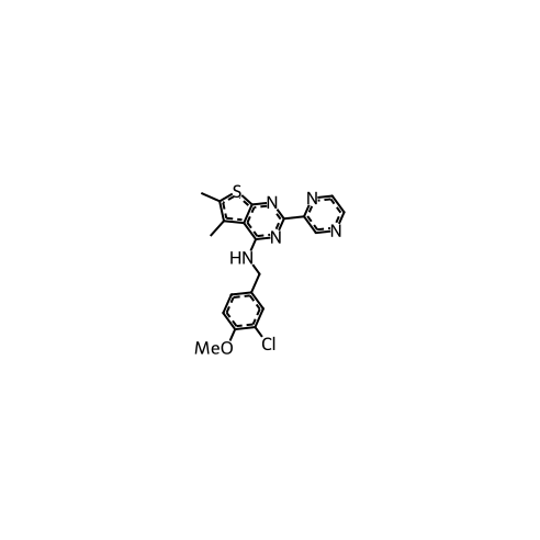 COc1ccc(CNc2nc(-c3cnccn3)nc3sc(C)c(C)c23)cc1Cl